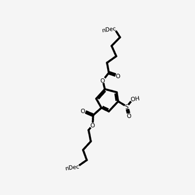 CCCCCCCCCCCCCCOC(=O)c1cc(OC(=O)CCCCCCCCCCCCCC)cc(S(=O)O)c1